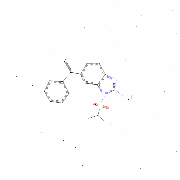 CC(C)S(=O)(=O)n1c(N)nc2ccc(/C(=C\Br)c3ccccc3)cc21